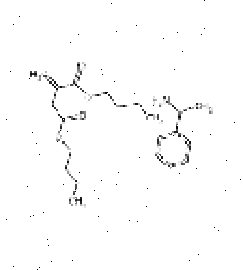 C=C(CC(=O)OCCCC)C(=O)OCCCC.CC(N)c1ccccc1